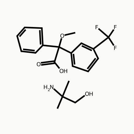 CC(C)(N)CO.COC(C(=O)O)(c1ccccc1)c1cccc(C(F)(F)F)c1